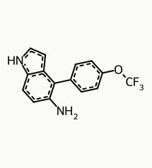 Nc1ccc2[nH]ccc2c1-c1ccc(OC(F)(F)F)cc1